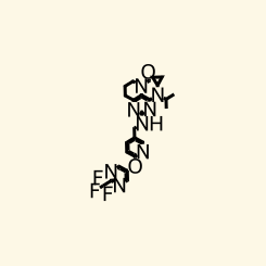 CC(C)N(c1nc(NCc2ccc(Oc3cnc(C(F)(F)F)nc3)nc2)nc2c1N(C=O)CCC2)C1CC1